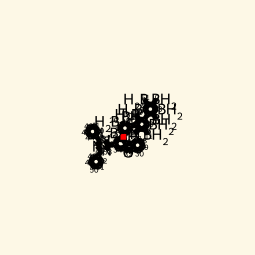 Bc1c(B)c(B)c(-c2c(B)c(B)c3c(c2B)c2c(B)c(B)c(B)c(B)c2n3-c2cccc3oc4cc(-c5nc(-c6ccccc6)nc(-c6ccccc6)n5)ccc4c23)c(B)c1B